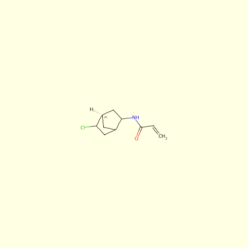 C=CC(=O)NC1C[C@H]2CC1CC2Cl